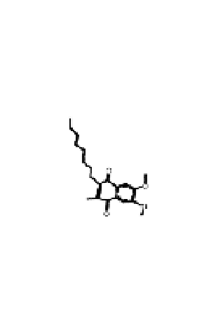 CCCCCCCCC1=C(C)C(=O)c2cc(OC)c(OC)cc2C1=O